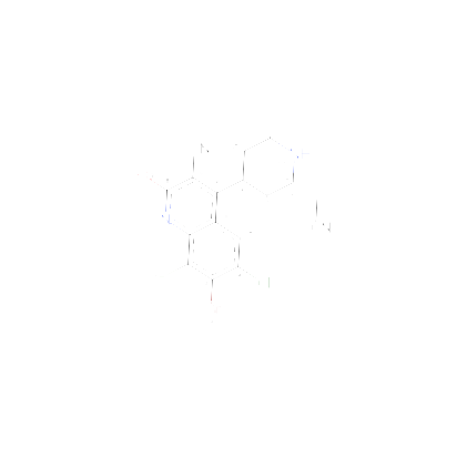 N#CC[C@@H]1CC(c2c(C#N)c(O)nc3c(F)c(Br)c(Cl)cc23)CCN1